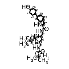 CC(C)(C)OC(=O)NCCC[C@H](CNC(=O)c1cc2ccc(-c3ccc(O)cc3)cc2[nH]1)NC(=O)OC(C)(C)C